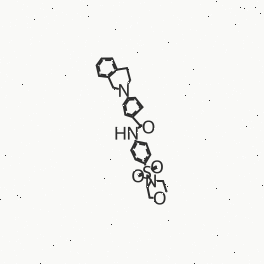 O=C(Nc1ccc(S(=O)(=O)N2CCOCC2)cc1)c1ccc(N2CCc3ccccc3C2)cc1